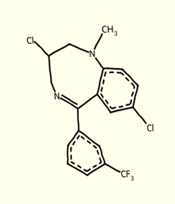 CN1CC(Cl)CN=C(c2cccc(C(F)(F)F)c2)c2cc(Cl)ccc21